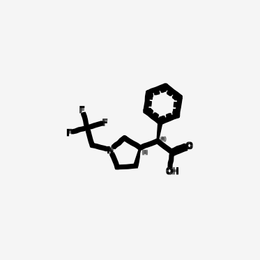 O=C(O)[C@H](c1ccccc1)[C@H]1CCN(CC(F)(F)F)C1